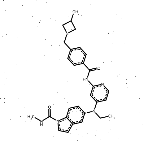 CCN(c1ccnc(NC(=O)c2ccc(CN3CC(O)C3)cc2)c1)c1ccc2c(ccn2C(=O)NC)c1